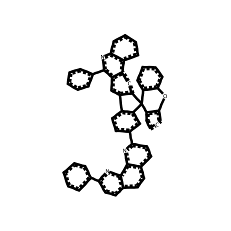 c1ccc(-c2ccc3ccc4ccc(-c5ccc6c(c5)C5(c7ccccc7Oc7ccccc75)c5cc7c(cc5-6)c(-c5ccccc5)nc5ccccc57)nc4c3n2)cc1